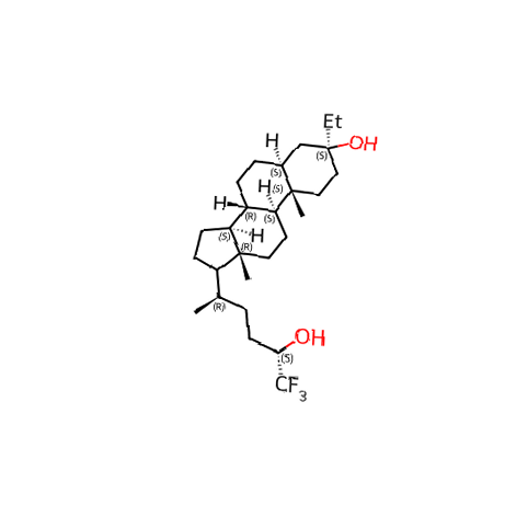 CC[C@]1(O)CC[C@@]2(C)[C@@H](CC[C@@H]3[C@@H]2CC[C@]2(C)C([C@H](C)CC[C@H](O)C(F)(F)F)CC[C@@H]32)C1